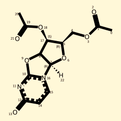 CC(=O)OC[C@H]1O[C@@H]2C(Oc3nc(=O)ccn32)[C@H]1OC(C)=O